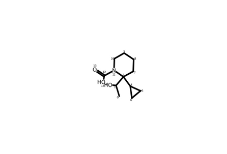 CC(O)C1(C2CC2)CCCCN1C(=O)O